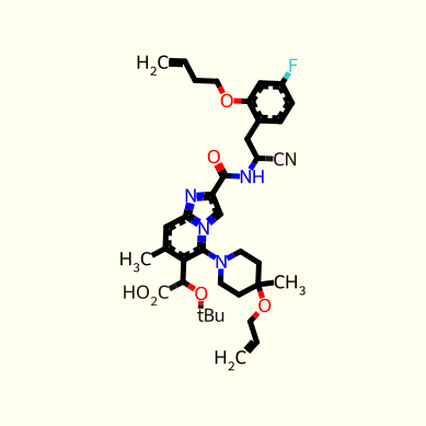 C=CCCOc1cc(F)ccc1CC(C#N)NC(=O)c1cn2c(N3CCC(C)(OCC=C)CC3)c(C(OC(C)(C)C)C(=O)O)c(C)cc2n1